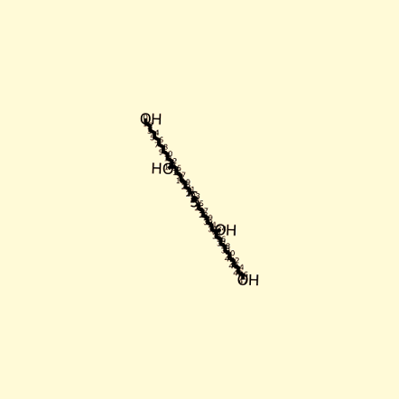 OCCCCCCCCCCCCC(O)CCCCCCCCSSCCCCCCCCC(O)CCCCCCCCCCCCO